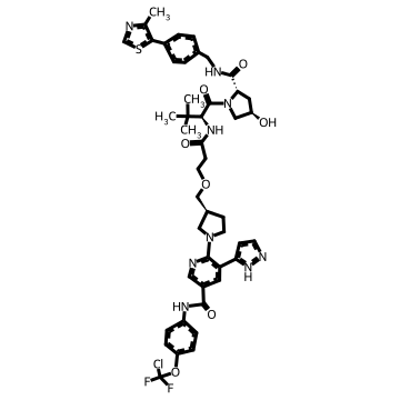 Cc1ncsc1-c1ccc(CNC(=O)[C@@H]2C[C@@H](O)CN2C(=O)[C@@H](NC(=O)CCOC[C@H]2CCN(c3ncc(C(=O)Nc4ccc(OC(F)(F)Cl)cc4)cc3-c3ccn[nH]3)C2)C(C)(C)C)cc1